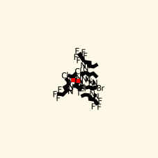 CCC1=C(n2nc(C(F)(F)C(F)(F)F)cc2CC)C(Cl)(n2cc(Cl)c(Cl)n2)[N+](n2nc(I)c(-n3nc(CC(F)(F)F)cc3CC)c2Cl)N1n1nc(Br)c(-n2nc(C(F)(F)F)cc2CC)c1Cl